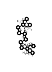 CC1(C)c2ccccc2N2c3ccccc3C(C)(C)c3cc(-c4cccc5c4oc4c(-c6cccc7c6oc6c(-c8cccc9c8oc8c(-c%10cc%11c%12c(c%10)C(C)(C)c%10ccccc%10N%12c%10ccccc%10C%11(C)C)cccc89)cccc67)cccc45)cc1c32